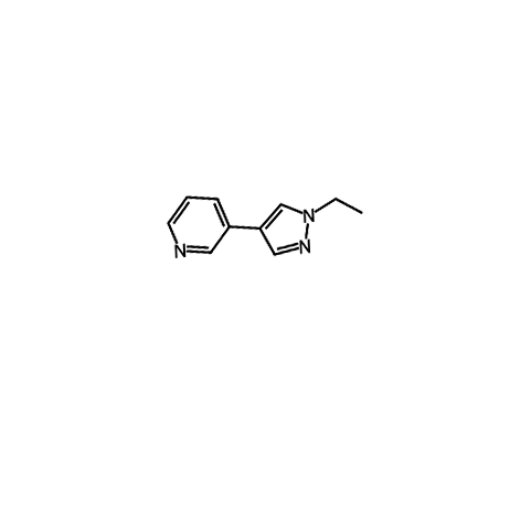 CCn1cc(-c2cccnc2)cn1